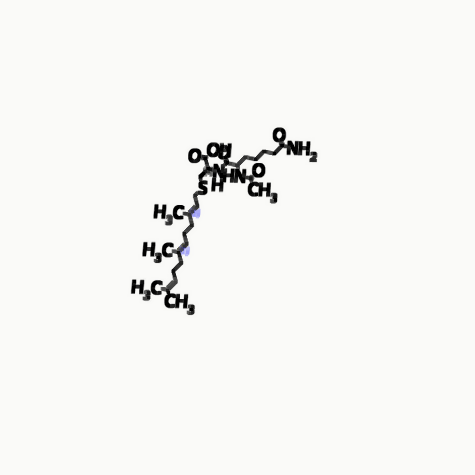 CC(=O)NC(CCCCC(N)=O)C(=O)N[C@@H](CSC/C=C(\C)CC/C=C(\C)CCC=C(C)C)C(=O)O